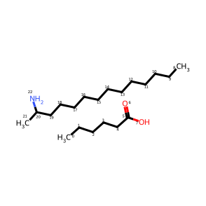 CCCCCC(=O)O.CCCCCCCCCCCCC(C)N